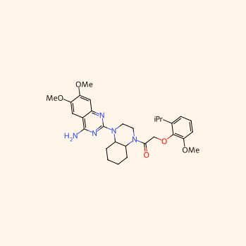 COc1cc2nc(N3CCN(C(=O)COc4c(OC)cccc4C(C)C)C4CCCCC43)nc(N)c2cc1OC